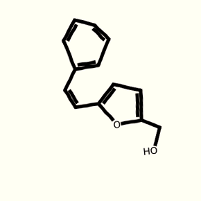 OCc1ccc(/C=C\c2ccccc2)o1